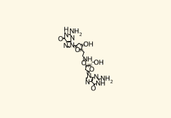 Nc1nc2c(ncn2[C@H]2C[C@H](ONCC[C@H]3O[C@@H](n4cnc5c(=O)[nH]c(N)nc54)C[C@@H]3O)[C@H](CO)O2)c(=O)[nH]1